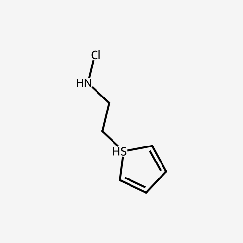 ClNCC[SH]1C=CC=C1